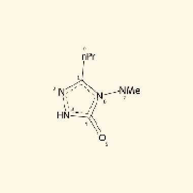 CCCc1n[nH]c(=O)n1NC